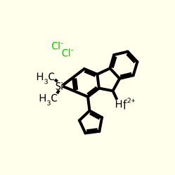 C[Si]1(C)c2cc3c(c(C4=CC=CC4)c21)[CH]([Hf+2])c1ccccc1-3.[Cl-].[Cl-]